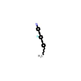 CCCCCCc1ccc(C#Cc2ccc(C#Cc3ccc(C#N)cc3)c(F)c2)cc1